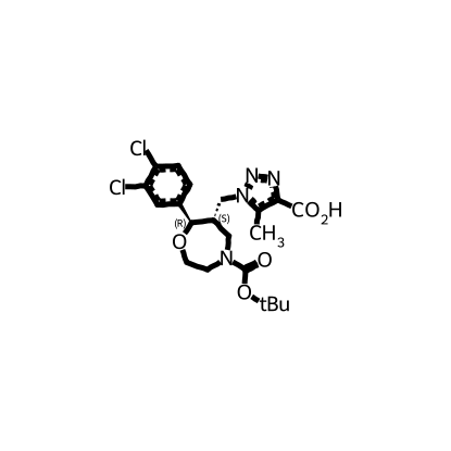 Cc1c(C(=O)O)nnn1C[C@@H]1CN(C(=O)OC(C)(C)C)CCO[C@H]1c1ccc(Cl)c(Cl)c1